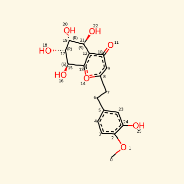 COc1ccc(CCc2cc(=O)c3c(o2)[C@@H](O)[C@H](O)[C@H](O)[C@H]3O)cc1O